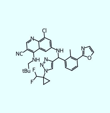 Cc1c(-c2ncco2)cccc1C(Nc1cc(Cl)c2ncc(C#N)c(NCC(C)(C)C)c2c1)c1cn(C2(C(F)F)CC2)nn1